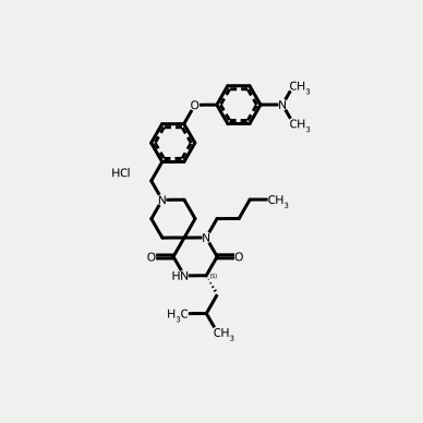 CCCCN1C(=O)[C@H](CC(C)C)NC(=O)C12CCN(Cc1ccc(Oc3ccc(N(C)C)cc3)cc1)CC2.Cl